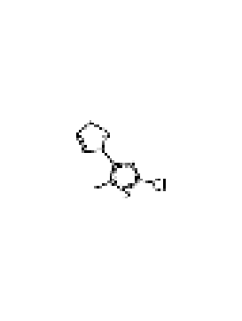 Cc1sc(Cl)cc1C1C=CCS1